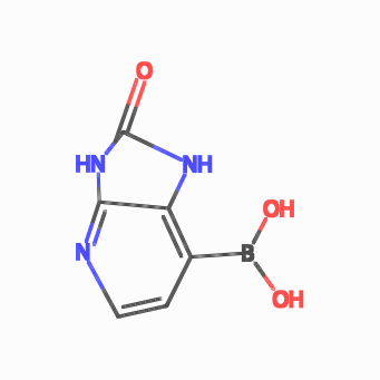 O=c1[nH]c2nccc(B(O)O)c2[nH]1